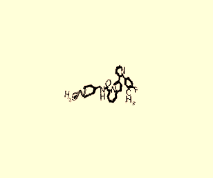 Cc1cc(-c2ncccc2C2=CN3C(=C=CCC=C3C(=O)NCC3CCN(C)CC3)C=C2)ccc1F